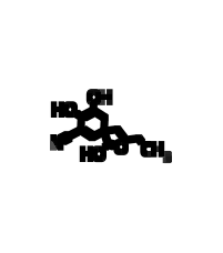 CCCCC1(C(=O)O)C=C(C#N)C(O)=C(O)C1